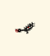 C=C(C)C1=C(C)C[C@@]2(C)C[C@@]3(C)Cc4c(CC)cc(C#Cc5ccc(OC)cc5)c(C)c4C(=C)C3=C(C)[C@@]2(C)C1=C